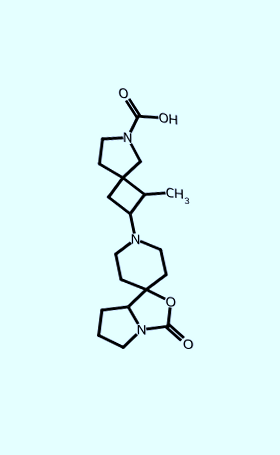 CC1C(N2CCC3(CC2)OC(=O)N2CCCC23)CC12CCN(C(=O)O)C2